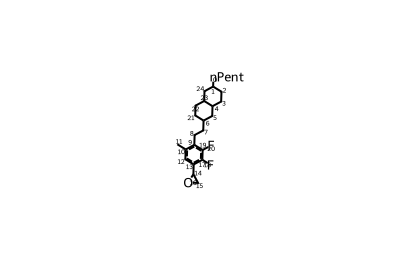 CCCCCC1CCC2CC(CCc3c(C)cc(C4CO4)c(F)c3F)CCC2C1